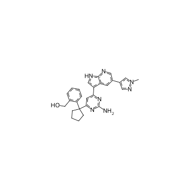 Cn1cc(-c2cnc3[nH]cc(-c4cc(C5(c6ccccc6CO)CCCC5)nc(N)n4)c3c2)cn1